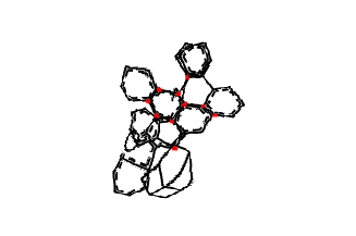 c1ccc(-c2ccccc2-c2ccccc2-c2ccccc2N(c2ccccc2-c2cccc3c2oc2ccccc23)c2cccc3c2-c2ccccc2C32C3CC4CC(C3)CC2C4)cc1